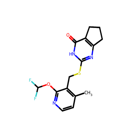 Cc1ccnc(OC(F)F)c1CSc1nc2c(c(=O)[nH]1)CCC2